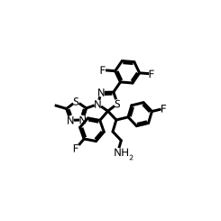 Cc1nnc(N2N=C(c3cc(F)ccc3F)SC2(c2ccc(F)cc2)C(CCN)c2ccc(F)cc2)s1